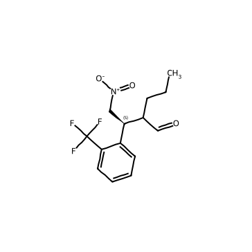 CCCC(C=O)[C@H](C[N+](=O)[O-])c1ccccc1C(F)(F)F